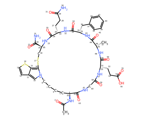 CC(=O)N[C@H]1CCCCn2cc3ccsc3c2SC[C@@H](C(N)=O)NC(=O)[C@H](CCC(N)=O)NC(=O)[C@H](Cc2ccccc2)NC(=O)[C@H](C)NC(=O)[C@H](CCC(=O)O)NC(=O)CNC1=O